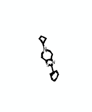 c1ccc(-c2nc3c(s2)CCN(C2CCC2)CC3)cc1